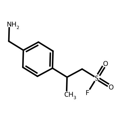 CC(CS(=O)(=O)F)c1ccc(CN)cc1